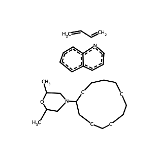 C=CC=C.CC1CN(C2CCCCCCCCCCC2)CC(C)O1.c1ccc2ncccc2c1